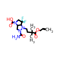 C=CCOC(=O)C(C)(C)CCN1C2C(CN1C(N)=O)N(C(=O)O)CC2(F)F